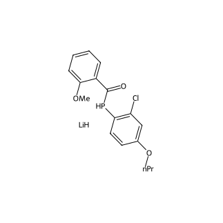 CCCOc1ccc(PC(=O)c2ccccc2OC)c(Cl)c1.[LiH]